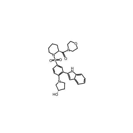 O=C([C@@H]1CCCCN1S(=O)(=O)c1ccc(N2CC[C@H](O)C2)c(-c2cc3ccccc3[nH]2)c1)N1CCOCC1